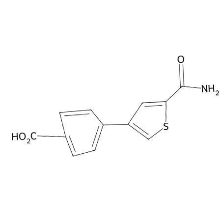 NC(=O)c1cc(-c2ccc(C(=O)O)cc2)cs1